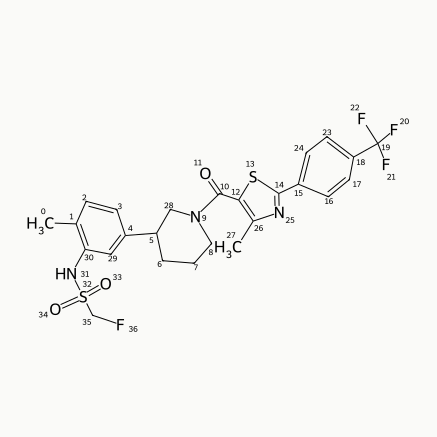 Cc1ccc(C2CCCN(C(=O)c3sc(-c4ccc(C(F)(F)F)cc4)nc3C)C2)cc1NS(=O)(=O)CF